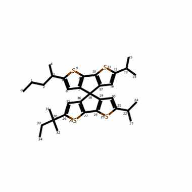 CCCC(C)c1cc2c(s1)-c1sc(C(C)C)cc1C21c2cc(C(C)C)sc2-c2sc(C(C)(C)CC)cc21